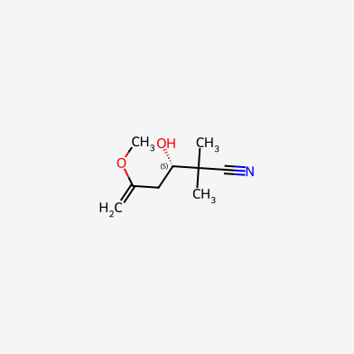 C=C(C[C@H](O)C(C)(C)C#N)OC